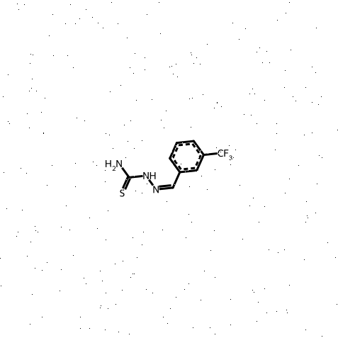 NC(=S)N/N=C\c1cccc(C(F)(F)F)c1